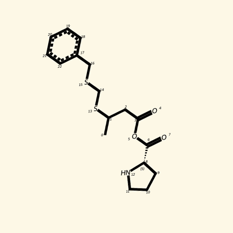 CC(CC(=O)OC(=O)[C@@H]1CCCN1)SCSCc1ccccc1